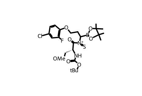 COC[C@@H](NC(=O)OC(C)(C)C)C(=O)[N+](=S)C(CCOc1ccc(Cl)cc1F)B1OC(C)(C)C(C)(C)O1